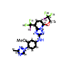 COc1cc(Nc2nc3c(C(F)(F)I)ccc(O[C@@H](C)C(F)(F)I)n3n2)ccc1-n1cnc(C)n1